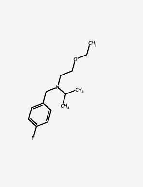 CCOCCN(Cc1ccc(F)cc1)C(C)C